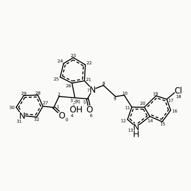 O=C(C[C@]1(O)C(=O)N(CCCc2c[nH]c3ccc(Cl)cc23)c2ccccc21)c1cccnc1